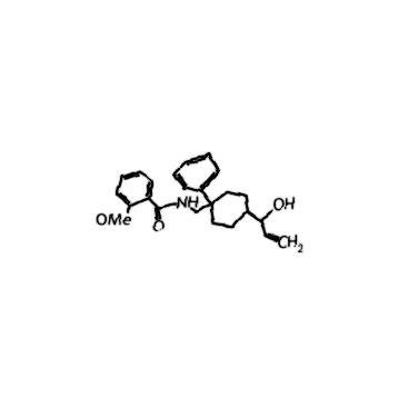 C=CC(O)C1CCC(CNC(=O)c2ccccc2OC)(c2ccccc2)CC1